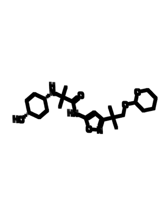 CC(C)(N[C@H]1CC[C@@H](O)CC1)C(=O)Nc1cc(C(C)(C)COC2CCCCO2)no1